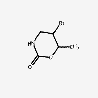 CC1OC(=O)NCC1Br